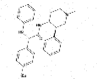 CN1CCC(NC(=O)[C@@H](Nc2ccccc2)c2ccc(C(C)(C)C)cc2)[C@H](c2ccccc2)C1